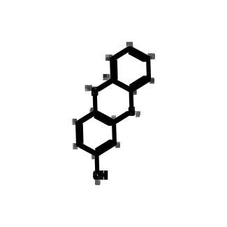 Oc1ccc2c(c1)Sc1ccccc1S2